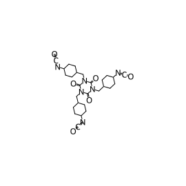 O=C=NC1CCC(Cn2c(=O)n(CC3CCC(N=C=O)CC3)c(=O)n(CC3CCC(N=C=O)CC3)c2=O)CC1